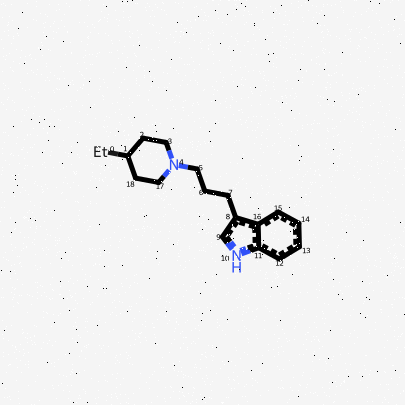 CCC1CCN(CCCc2c[nH]c3ccccc23)CC1